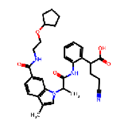 Cc1cn(C(C)C(=O)Nc2ccccc2C(CCC#N)C(=O)O)c2cc(C(=O)NCCOC3CCCC3)ccc12